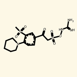 CS(=O)(=O)c1cc(C(=O)CS(=O)(=O)ONC(=N)N)ccc1N1CCCCC1